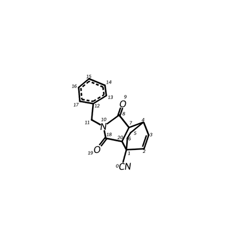 N#CC12C=CC(CC1)C1C(=O)N(Cc3ccccc3)C(=O)C12